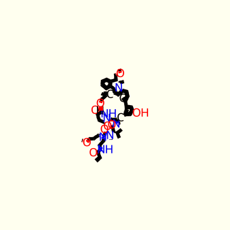 C=CC(=O)NCCN(CCCOC)C(=O)N(C)[C@H](C(=O)N1C[C@@]12Cc1cc(O)cc(c1)-c1ccc3c(c1)c(c(-c1ccccc1CCOC)n3CC)CC(C)(C)COC(=O)[C@@H]1CCCN(N1)C2=O)C(C)C